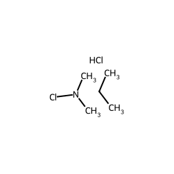 CCC.CN(C)Cl.Cl